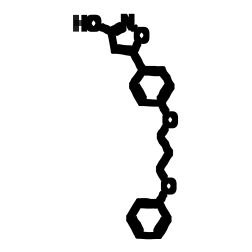 Oc1cc(-c2ccc(OCCCOc3ccccc3)cc2)on1